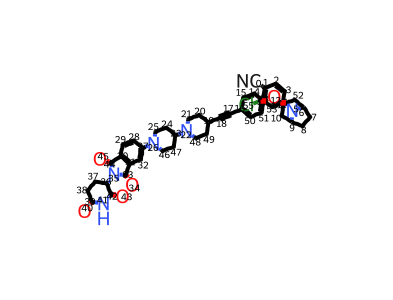 N#Cc1ccc(N2C3CCC2CC(Oc2ccc(C#CC4CCN(C5CCN(c6ccc7c(c6)C(=O)N(C6CCC(=O)NC6=O)C7=O)CC5)CC4)cc2)C3)cc1Cl